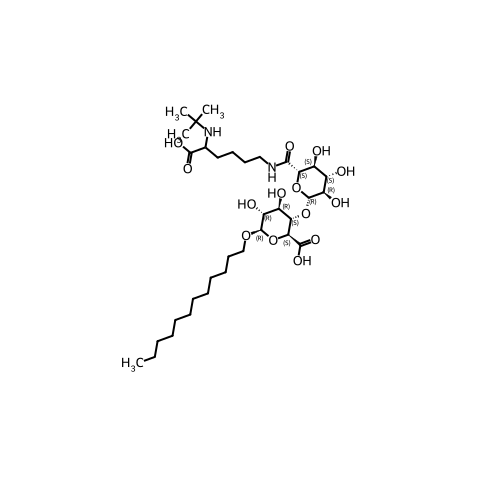 CCCCCCCCCCCCO[C@@H]1O[C@H](C(=O)O)[C@@H](O[C@@H]2O[C@H](C(=O)NCCCCC(NC(C)(C)C)C(=O)O)[C@@H](O)[C@H](O)[C@H]2O)[C@H](O)[C@H]1O